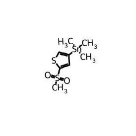 CS(=O)(=O)c1c[c]([Sn]([CH3])([CH3])[CH3])cs1